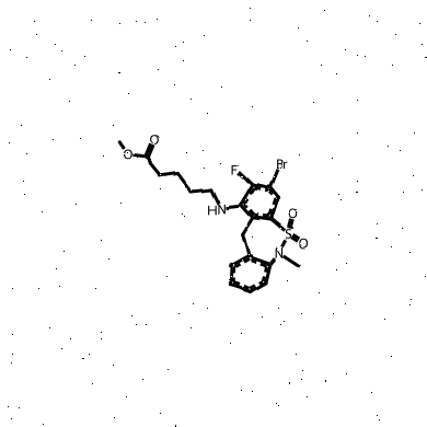 COC(=O)CCCCNc1c(F)c(Br)cc2c1Cc1ccccc1N(C)S2(=O)=O